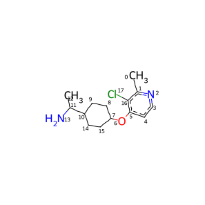 Cc1nccc(OC2CCC(C(C)N)CC2)c1Cl